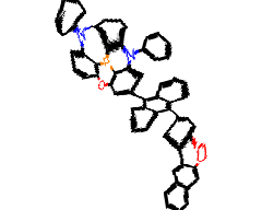 c1ccc(N2c3cccc4c3P3c5c(cc(-c6c7ccccc7c(-c7ccc8oc9cc%10ccccc%10cc9c8c7)c7ccccc67)cc5N(c5ccccc5)c5cccc2c53)O4)cc1